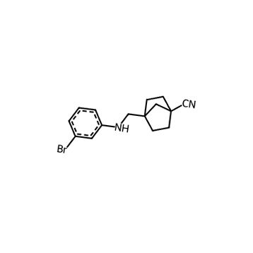 N#CC12CCC(CNc3cccc(Br)c3)(CC1)C2